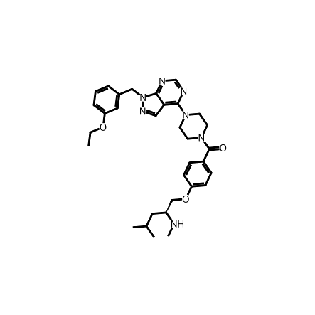 CCOc1cccc(Cn2ncc3c(N4CCN(C(=O)c5ccc(OC[C@H](CC(C)C)NC)cc5)CC4)ncnc32)c1